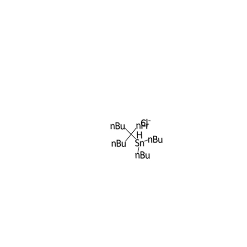 CCC[CH2][SnH]([CH2]CCC)[C](CCC)(CCCC)CCCC.[Cl-]